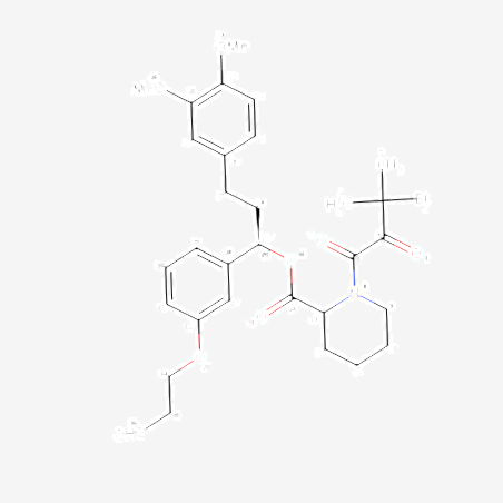 CCC(C)(C)C(=O)C(=O)N1CCCCC1C(=O)O[C@H](CCc1ccc(OC)c(OC)c1)c1cccc(OCCC=O)c1